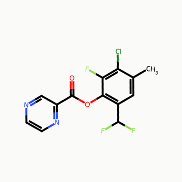 Cc1cc(C(F)F)c(OC(=O)c2cnccn2)c(F)c1Cl